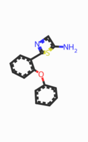 Nc1cnc(-c2ccccc2Oc2ccccc2)s1